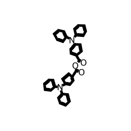 O=C(OC(=O)c1ccc(N(c2ccccc2)c2ccccc2)cc1)c1ccc(N(c2ccccc2)c2ccccc2)cc1